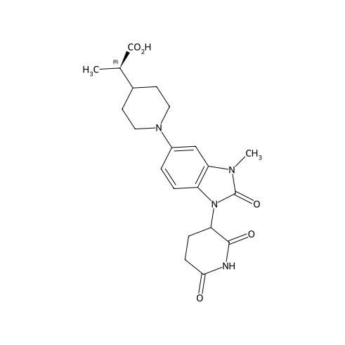 C[C@@H](C(=O)O)C1CCN(c2ccc3c(c2)n(C)c(=O)n3C2CCC(=O)NC2=O)CC1